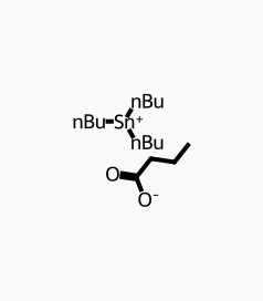 CCCC(=O)[O-].CCC[CH2][Sn+]([CH2]CCC)[CH2]CCC